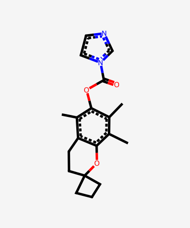 Cc1c(C)c2c(c(C)c1OC(=O)n1ccnc1)CCC1(CCC1)O2